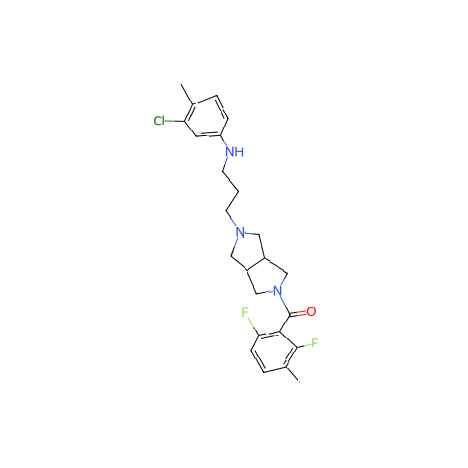 Cc1ccc(NCCCN2CC3CN(C(=O)c4c(F)ccc(C)c4F)CC3C2)cc1Cl